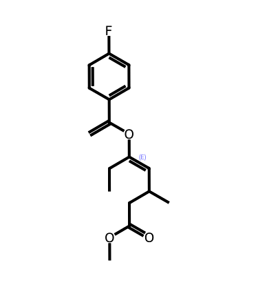 C=C(O/C(=C/C(C)CC(=O)OC)CC)c1ccc(F)cc1